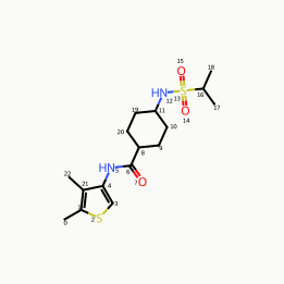 Cc1scc(NC(=O)C2CCC(NS(=O)(=O)C(C)C)CC2)c1C